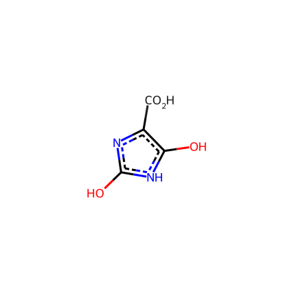 O=C(O)c1nc(O)[nH]c1O